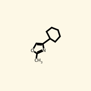 Cc1nc(C2CCCCC2)co1